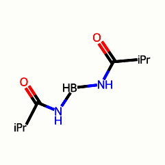 CC(C)C(=O)NBNC(=O)C(C)C